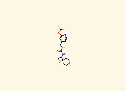 O=C(NCc1ccnc(OC(F)F)c1)NC1COC12CCCCC2